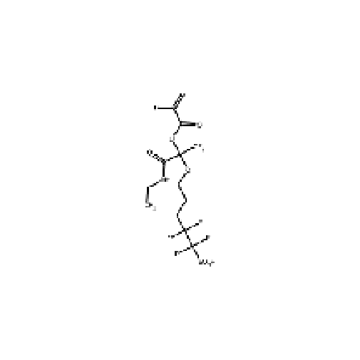 C=C(F)C(=O)OC(OCCCC(F)(F)C(F)(F)S(=O)(=O)O)(C(=O)NCC(F)(F)F)C(F)(F)F